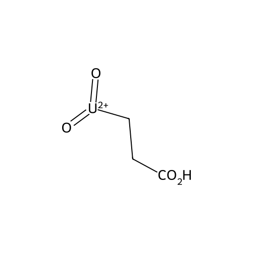 O=C(O)C[CH2][U+2](=[O])=[O]